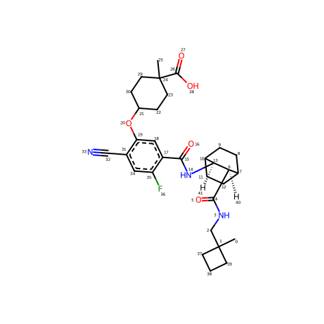 CC1(CNC(=O)[C@@H]2C3CCC(CC3)[C@@H]2NC(=O)c2cc(OC3CCC(C)(C(=O)O)CC3)c(C#N)cc2F)CCC1